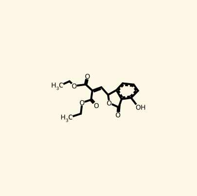 CCOC(=O)C(=CC1OC(=O)c2c(O)cccc21)C(=O)OCC